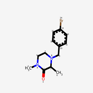 CC1C(=O)N(C)CCN1Cc1ccc(Br)cc1